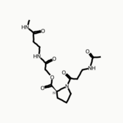 CNC(=O)CCNC(=O)COC(=O)[C@@H]1CCCN1C(=O)CCNC(C)=O